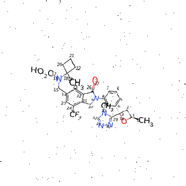 C[C@@H]1C[C@](c2cccc(N3Cc4c(cc(CN(C(=O)O)C5(C)CCC5)cc4C(F)(F)F)C3=O)c2)(c2nncn2C)O1